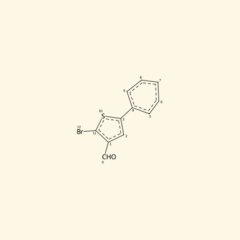 O=Cc1cc(-c2ccccc2)sc1Br